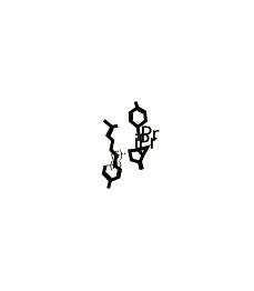 C=C1CCC2(C(C)C)CC12.CC(C)=CCC[C@H](C)[C@@H]1C=CC(C)=CC1.CC1=CCC(C(C)C)C=C1